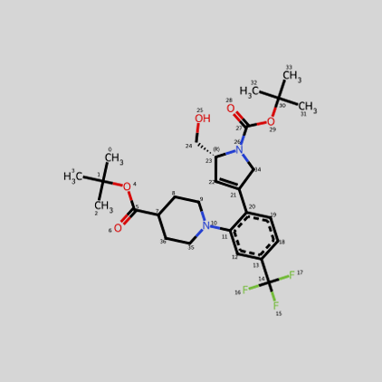 CC(C)(C)OC(=O)C1CCN(c2cc(C(F)(F)F)ccc2C2=C[C@H](CO)N(C(=O)OC(C)(C)C)C2)CC1